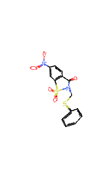 O=C1c2ccc([N+](=O)[O-])cc2S(=O)(=O)N1CSc1ccccc1